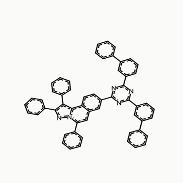 c1ccc(-c2cccc(-c3nc(-c4cccc(-c5ccccc5)c4)nc(-c4ccc5c(c4)cc(-c4ccccc4)n4nc(-c6ccccc6)c(-c6ccccc6)c54)n3)c2)cc1